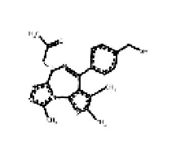 CC(=O)C[C@@H]1N=C(c2ccc(CS)cc2)c2c(sc(C)c2C)-n2c(C)nnc21